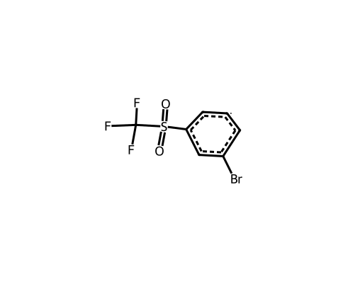 O=S(=O)(c1c[c]cc(Br)c1)C(F)(F)F